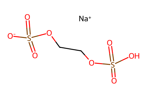 O=S(=O)([O-])OCCOS(=O)(=O)O.[Na+]